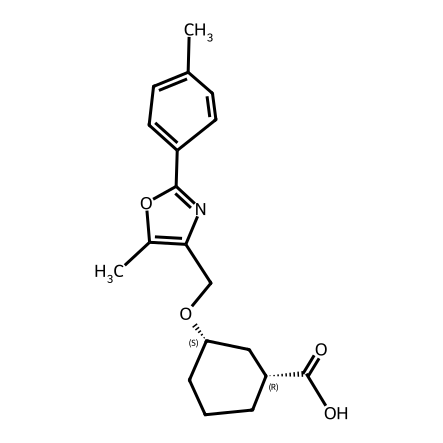 Cc1ccc(-c2nc(CO[C@H]3CCC[C@@H](C(=O)O)C3)c(C)o2)cc1